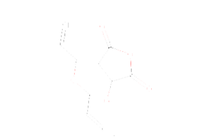 C=CCOCC=C.O=C1CC(O)C(=O)O1